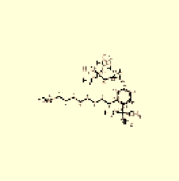 CCCCCCCCCCCCCCCCCCc1ccccc1C(C)(C)N.C[N+](C)(C)CC1CO1.Cl.[Cl-]